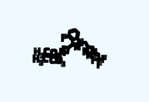 CC(C)(C)OC(=O)N1CC(c2nn(Cc3cn(CC(F)(F)F)nn3)c3cccc(F)c23)C1